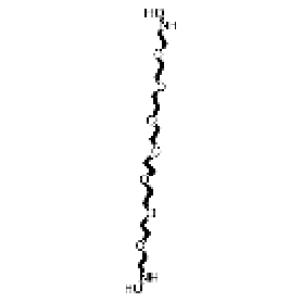 ONCCOCCOCCOCCOCCOCCOCCOCCNO